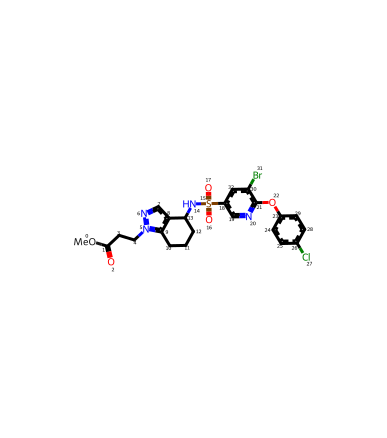 COC(=O)CCn1ncc2c1CCCC2NS(=O)(=O)c1cnc(Oc2ccc(Cl)cc2)c(Br)c1